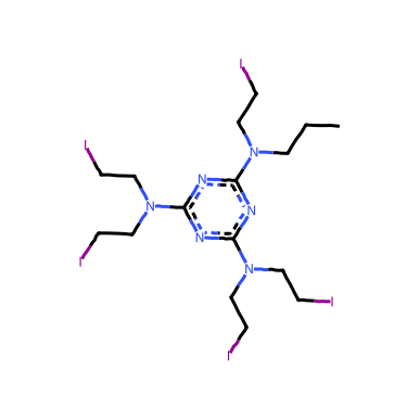 CCCN(CCI)c1nc(N(CCI)CCI)nc(N(CCI)CCI)n1